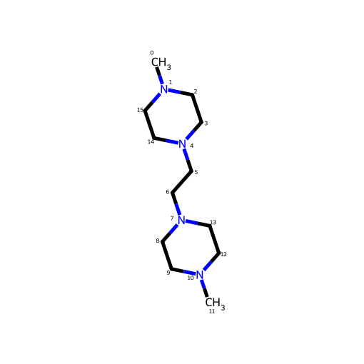 CN1CCN(CCN2CCN(C)CC2)CC1